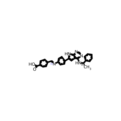 C[C@@H](Nc1ncnc2[nH]c(-c3ccc(/N=C/c4ccc(C(=O)O)cc4)cc3)cc12)c1ccccc1